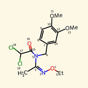 CCO/N=C(/C)N(Cc1ccc(OC)c(OC)c1)C(=O)C(Cl)Cl